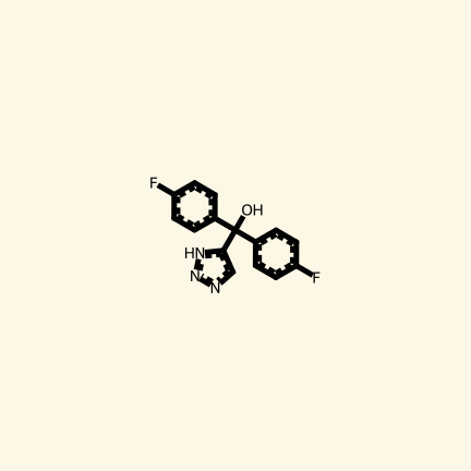 OC(c1ccc(F)cc1)(c1ccc(F)cc1)c1cnn[nH]1